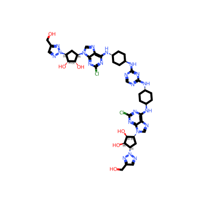 OCc1cnn([C@H]2C[C@@H](n3cnc4c(N[C@H]5CC[C@H](Nc6ncnc(N[C@H]7CC[C@H](Nc8nc(Cl)nc9c8ncn9[C@@H]8C[C@H](n9ncc(CO)n9)[C@@H](O)[C@H]8O)CC7)n6)CC5)nc(Cl)nc43)[C@H](O)[C@@H]2O)n1